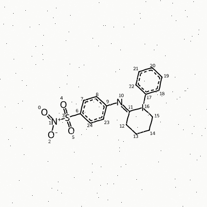 O=[N+]([O-])S(=O)(=O)c1ccc(N=C2CCCCI2c2ccccc2)cc1